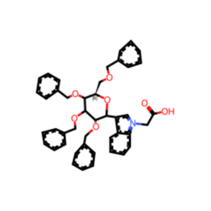 O=C(O)Cn1cc(C2O[C@H](COCc3ccccc3)C(OCc3ccccc3)C(OCc3ccccc3)C2OCc2ccccc2)c2ccccc21